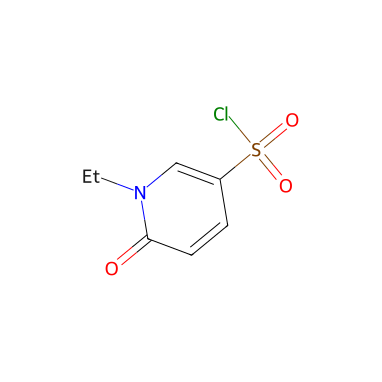 CCn1cc(S(=O)(=O)Cl)ccc1=O